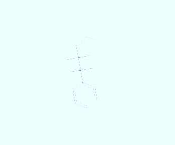 CCOC(=O)/C=C\C(F)(F)C(F)(F)c1ccccc1